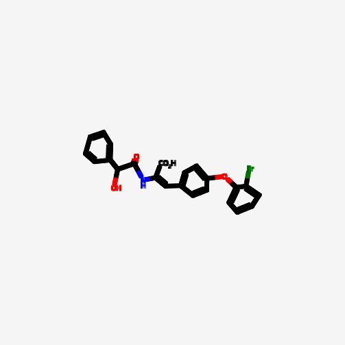 O=C(O)/C(=C\c1ccc(Oc2ccccc2Br)cc1)NC(=O)C(O)c1ccccc1